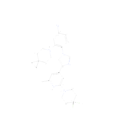 Cc1cc(-c2cn(-c3ccc(N)cc3N3CCC4(CC3)CC4)cn2)cc(N2CCC(F)(F)CC2)n1